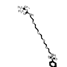 CC(C)(C)OC(=O)NCCOCCCOCCOCCOCCNS(=O)(=O)c1ccc([N+](=O)[O-])cc1